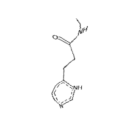 CNC(=O)CCc1cnc[nH]1